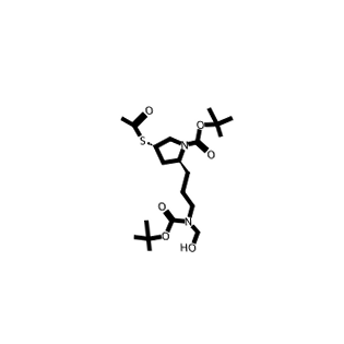 CC(=O)S[C@H]1C[C@H](CCCN(CO)C(=O)OC(C)(C)C)N(C(=O)OC(C)(C)C)C1